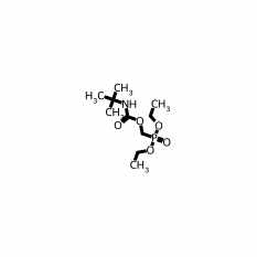 CCOP(=O)(COC(=O)NC(C)(C)C)OCC